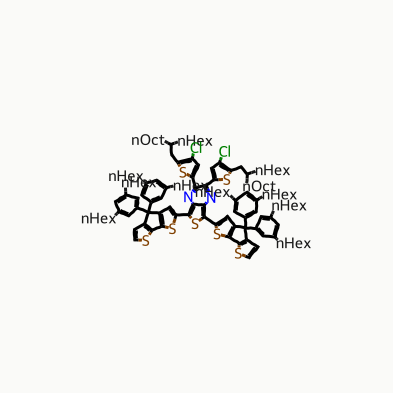 CCCCCCCCC(CCCCCC)Cc1sc(-c2nc3c(-c4cc5c(s4)-c4sccc4C5(c4cc(CCCCCC)cc(CCCCCC)c4)c4cc(CCCCCC)cc(CCCCCC)c4)sc(-c4cc5c(s4)-c4sccc4C5(c4cc(CCCCCC)cc(CCCCCC)c4)c4cc(CCCCCC)cc(CCCCCC)c4)c3nc2-c2cc(Cl)c(CC(CCCCCC)CCCCCCCC)s2)cc1Cl